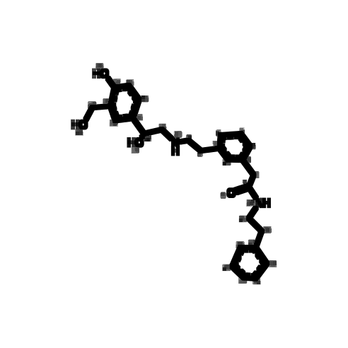 O=C(Cc1cccc(CCNC[C@@H](O)c2ccc(O)c(CO)c2)c1)NCCc1ccccc1